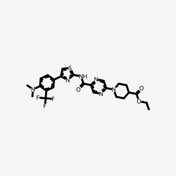 CCOC(=O)C1CCN(c2cnc(C(=O)Nc3nc(-c4ccc(N(C)C)c(C(F)(F)F)c4)cs3)cn2)CC1